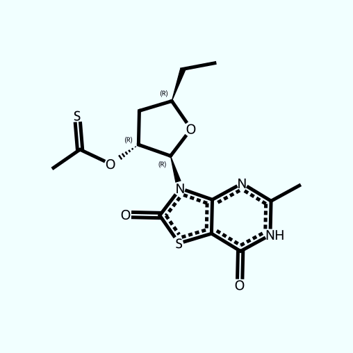 CC[C@@H]1C[C@@H](OC(C)=S)[C@H](n2c(=O)sc3c(=O)[nH]c(C)nc32)O1